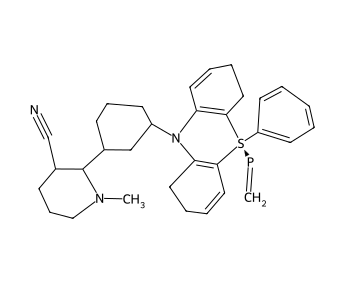 C=P[S@@]1(c2ccccc2)C2=C(CCC=C2)N(C2CCCC(C3C(C#N)CCCN3C)C2)C2=C1CCC=C2